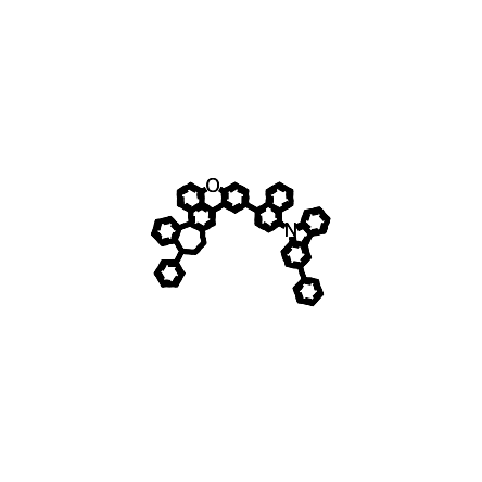 c1ccc(-c2ccc3c(c2)c2ccccc2n3-c2ccc(-c3ccc4c(c3)-c3cc5c(c6cccc(c36)O4)-c3ccccc3C(c3ccccc3)CC5)c3ccccc23)cc1